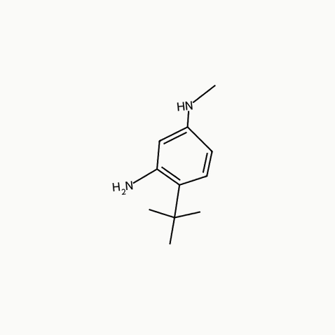 CNc1ccc(C(C)(C)C)c(N)c1